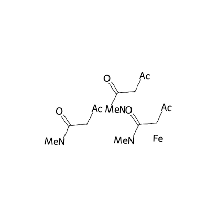 CNC(=O)CC(C)=O.CNC(=O)CC(C)=O.CNC(=O)CC(C)=O.[Fe]